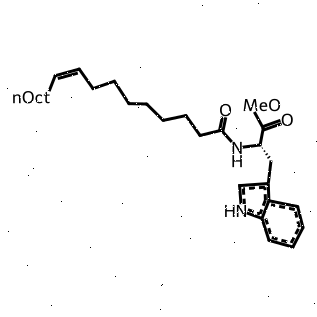 CCCCCCCC/C=C\CCCCCCCC(=O)N[C@@H](Cc1c[nH]c2ccccc12)C(=O)OC